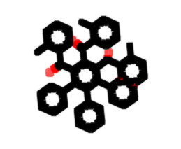 Cc1ccccc1C(=O)c1c(C(=O)c2ccccc2C)c(-c2ccccc2)c(-c2ccccc2)c(-c2ccccc2)c1C(=O)c1ccccc1C